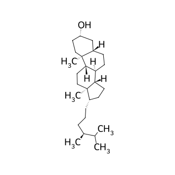 CC(C)[C@@H](C)CCC[C@H]1CC[C@H]2[C@@H]3CC[C@H]4C[C@@H](O)CC[C@]4(C)[C@H]3CC[C@]12C